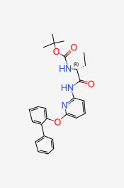 CC[C@@H](NC(=O)OC(C)(C)C)C(=O)Nc1cccc(Oc2ccccc2-c2ccccc2)n1